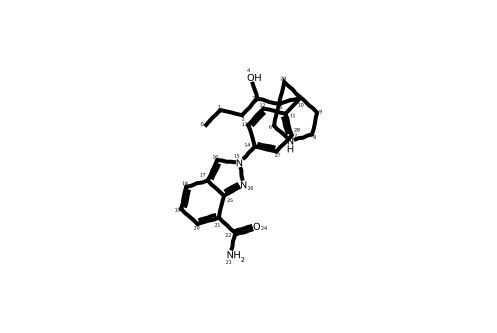 CCCC(O)C12CNCCC1(c1ccc(-n3cc4cccc(C(N)=O)c4n3)cc1)C2